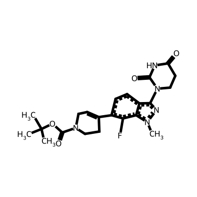 Cn1nc(N2CCC(=O)NC2=O)c2ccc(C3=CCN(C(=O)OC(C)(C)C)CC3)c(F)c21